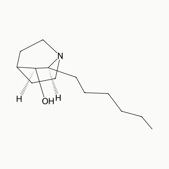 CCCCCC[C@H]1[C@@H](O)C2CCN1CC2